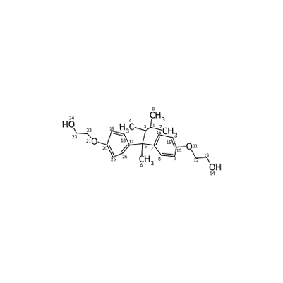 CC(C)C(C)C(C)(c1ccc(OCCO)cc1)c1ccc(OCCO)cc1